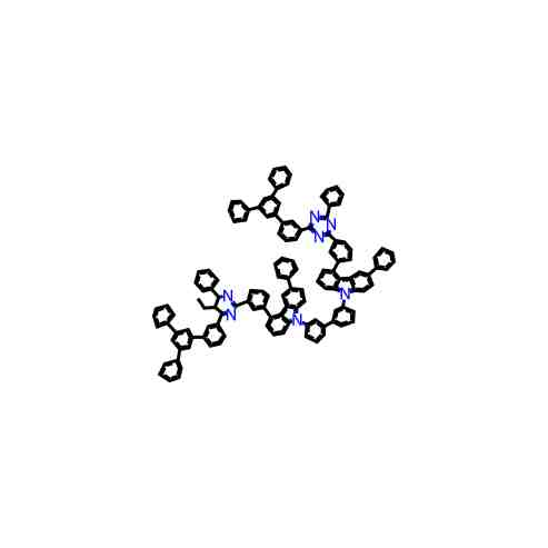 CCC1C(c2cccc(-c3cc(-c4ccccc4)cc(-c4ccccc4)c3)c2)=NC(c2cccc(-c3cccc4c3c3cc(-c5ccccc5)ccc3n4-c3cccc(-c4cccc(-n5c6ccc(-c7ccccc7)cc6c6c(-c7cccc(-c8nc(-c9ccccc9)nc(-c9cccc(-c%10cc(-c%11ccccc%11)cc(-c%11ccccc%11)c%10)c9)n8)c7)cccc65)c4)c3)c2)=NC1c1ccccc1